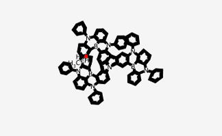 C/C=C\C1=C(C)N(c2ccccc2)c2cccc3c2B1c1c(ccc2c1c1cc4c(c5c6cc7c(cc6n2c15)B1c2ccccc2N(c2ccccc2)c2cccc(c21)N7c1ccccc1)N(c1ccccc1)c1cccc2c1B4c1cc(C)ccc1N2c1ccccc1)N3c1ccccc1